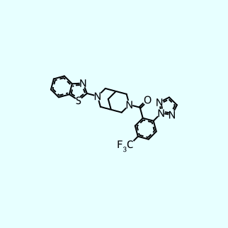 O=C(c1cc(C(F)(F)F)ccc1-n1nccn1)N1CC2CC(C1)CN(c1nc3ccccc3s1)C2